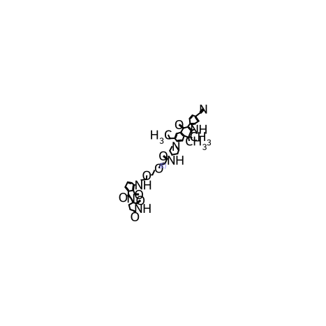 CCc1cc2c(cc1N1CCC(NC(=O)/C=C/OCCOCCNc3cccc4c3C(=O)N(C3CCC(=O)NC3=O)C4=O)CC1)C(C)(C)c1[nH]c3cc(C#N)ccc3c1C2=O